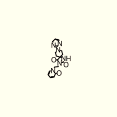 O=C1NC2(CCN(c3ncccn3)CC2)C(=O)N1CCn1ccccc1=O